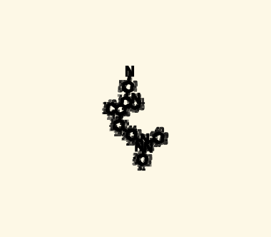 N#Cc1ccc(-c2cc3c4ccccc4c(-c4cccc(-c5ccc(-c6nc(-c7ccccc7)nc(-c7ccccc7)n6)cc5)c4)cc3c3cccnc23)cc1